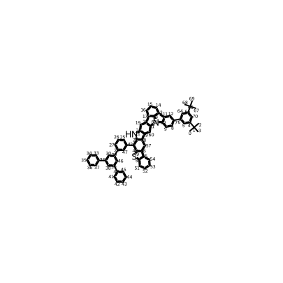 CC(C)(C)c1cc(-c2ccc3c(c2)c2cccc4c5cc6[nH]c7c(-c8cccc(-c9cc(-c%10ccccc%10)cc(-c%10ccccc%10)c9)c8)c8sc9ccccc9c8cc7c6cc5n3c24)cc(C(C)(C)C)c1